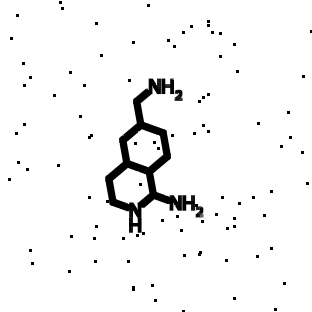 NCC1CCC2C(CCNC2N)C1